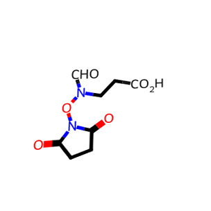 O=CN(CCC(=O)O)ON1C(=O)CCC1=O